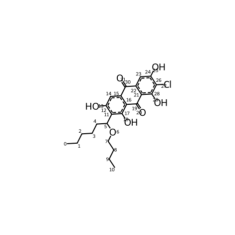 CCCCCC(OCCCC)c1c(O)cc2c(c1O)C(=O)c1c(cc(O)c(Cl)c1O)C2=O